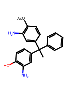 CC(=O)Oc1ccc(C(C)(c2ccccc2)c2ccc(O)c(N)c2)cc1N